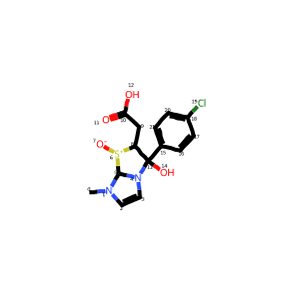 CN1C=CN2C1[S+]([O-])C(CC(=O)O)C2(O)c1ccc(Cl)cc1